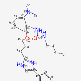 CCCCNC(=O)Nc1c(OCCCc2nc(-c3ccccc3)c[nH]2)cccc1N(C)C